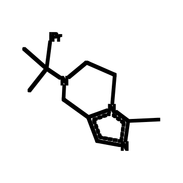 Cc1ncc2n1CCN(C(C)(C)C(C)C)C2